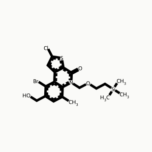 Cc1cc(CO)c(Br)c2c3cc(Cl)sc3c(=O)n(COCC[Si](C)(C)C)c12